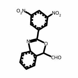 O=CC1OC(c2cc([N+](=O)[O-])cc([N+](=O)[O-])c2)=Nc2ccccc21